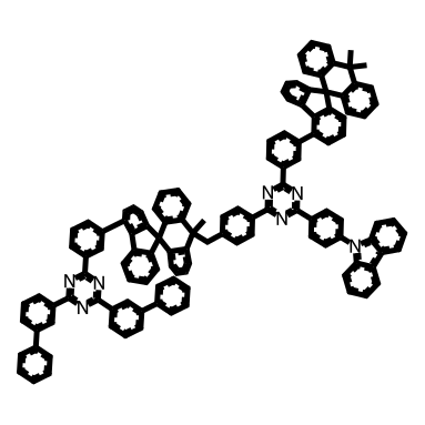 CC1(C)c2ccccc2C2(c3ccccc3-c3c(-c4cccc(-c5nc(-c6ccc(CC7(C)c8ccccc8C8(c9ccccc9-c9c(-c%10cccc(-c%11nc(-c%12cccc(-c%13ccccc%13)c%12)nc(-c%12cccc(-c%13ccccc%13)c%12)n%11)c%10)cccc98)c8ccccc87)cc6)nc(-c6ccc(-n7c8ccccc8c8ccccc87)cc6)n5)c4)cccc32)c2ccccc21